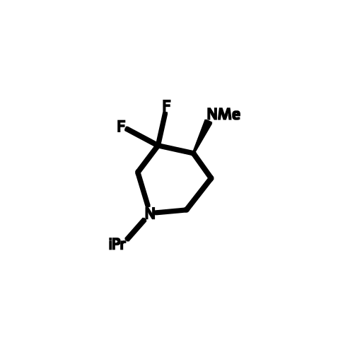 CN[C@H]1CCN(C(C)C)CC1(F)F